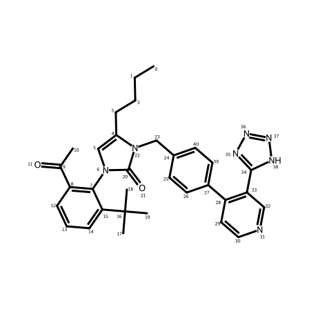 CCCCc1cn(-c2c(C(C)=O)cccc2C(C)(C)C)c(=O)n1Cc1ccc(-c2ccncc2-c2nnn[nH]2)cc1